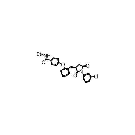 CCNC(=O)c1ccc(Oc2ccccc2/C=C2/CC(=O)N(c3cccc(Cl)c3)C2=O)cc1